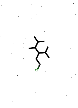 CC(C)C(C)C(CCCl)C(C)C